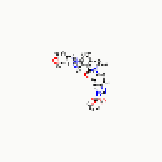 CC(C)(C)OC(=O)n1cc2c(n1)CCC(N(C(=O)c1cccc3c1cnn3CC1CCOCC1)C1CC1)C2